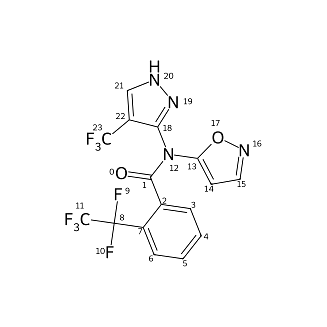 O=C(c1ccccc1C(F)(F)C(F)(F)F)N(c1ccno1)c1n[nH]cc1C(F)(F)F